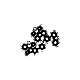 c1cc(-c2ccc3c(c2)C2(c4ccccc4Oc4ccccc42)c2ccccc2-3)cc(N(c2ccc(-c3cccc4sc5ccccc5c34)cc2)c2cccc3c2-c2ccccc2C32c3ccccc3Oc3ccccc32)c1